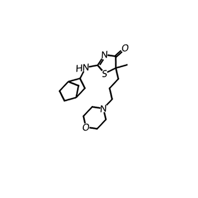 CC1(CCCN2CCOCC2)SC(NC2CC3CCC2C3)=NC1=O